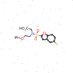 CC(C)OCCN(CC(=O)O)S(=O)(=O)c1cc2cc(F)ccc2o1